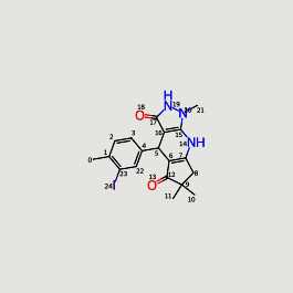 Cc1ccc(C2C3=C(CC(C)(C)C3=O)Nc3c2c(=O)[nH]n3C)cc1I